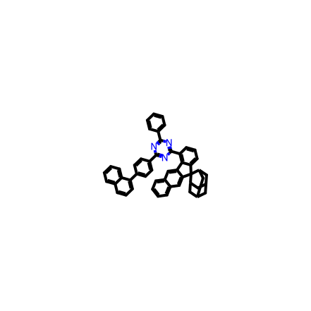 c1ccc(-c2nc(-c3ccc(-c4cccc5ccccc45)cc3)nc(-c3cccc4c3-c3cc5ccccc5cc3C43C4CC5CC(C4)CC3C5)n2)cc1